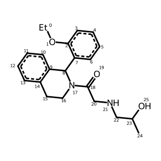 CCOc1ccccc1C1c2ccccc2CCN1C(=O)CNCC(C)O